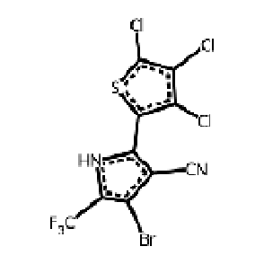 N#Cc1c(-c2sc(Cl)c(Cl)c2Cl)[nH]c(C(F)(F)F)c1Br